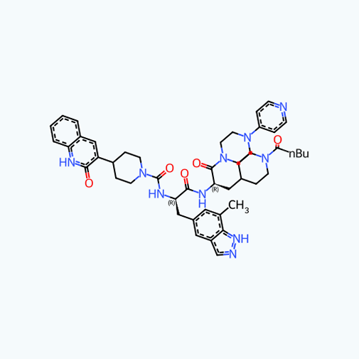 CCCCC(=O)N1CCC(C[C@@H](NC(=O)[C@@H](Cc2cc(C)c3[nH]ncc3c2)NC(=O)N2CCC(c3cc4ccccc4[nH]c3=O)CC2)C(=O)N2CCN(c3ccncc3)CC2)CC1